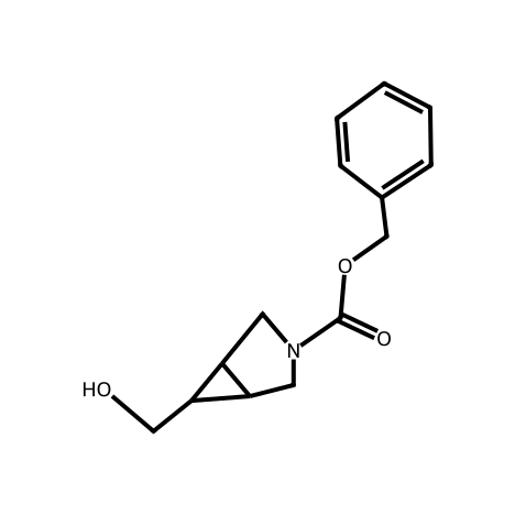 O=C(OCc1ccccc1)N1CC2C(CO)C2C1